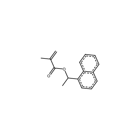 C=C(C)C(=O)OC(C)c1cccc2ccccc12